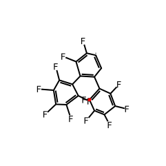 Fc1[c]cc(-c2c(F)c(F)c(F)c(F)c2F)c(-c2c(F)c(F)c(F)c(F)c2F)c1F